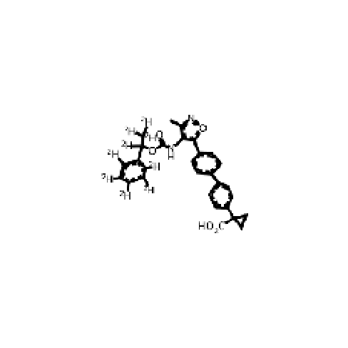 [2H]c1c([2H])c([2H])c(C([2H])(OC(=O)Nc2c(C)noc2-c2ccc(-c3ccc(C4(C(=O)O)CC4)cc3)cc2)C([2H])([2H])[2H])c([2H])c1[2H]